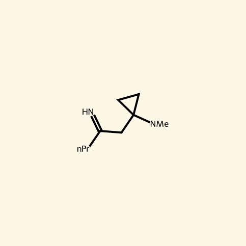 CCCC(=N)CC1(NC)CC1